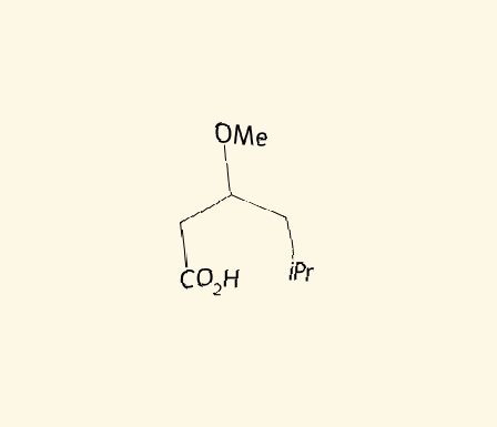 COC(CC(=O)O)CC(C)C